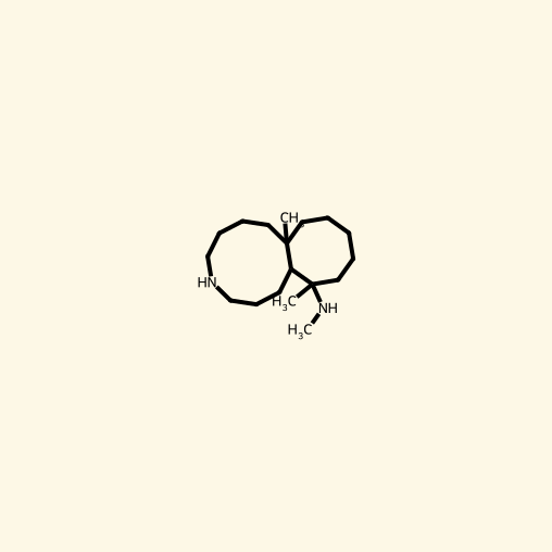 CNC1(C)CCCCCC2(C)CCCCNCCCC21